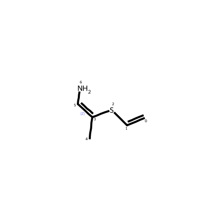 C=CS/C(C)=C\N